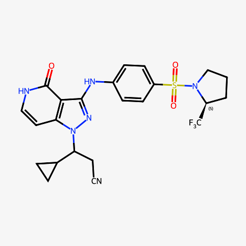 N#CCC(C1CC1)n1nc(Nc2ccc(S(=O)(=O)N3CCC[C@H]3C(F)(F)F)cc2)c2c(=O)[nH]ccc21